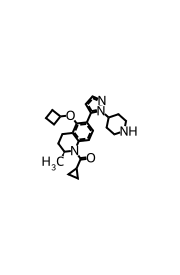 C[C@H]1CCc2c(ccc(-c3ccnn3C3CCNCC3)c2OC2CCC2)N1C(=O)C1CC1